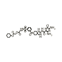 Nc1nc(N)c(C(=O)NC2NCC3(CCN(C(=O)c4cccc(S(=O)(=O)NCCC(=O)OCC(=O)OC5CCCCC5)c4)CC3)N2)nc1Cl